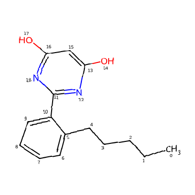 CCCCCc1ccccc1-c1nc(O)cc(O)n1